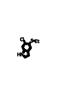 CCSc1cc2cc[nH]c2cc1Cl